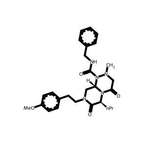 CCC[C@H]1C(=O)N(CCc2ccc(OC)cc2)C[C@H]2N1C(=O)CN(C)N2C(=O)NCc1ccccc1